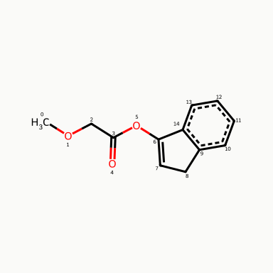 COCC(=O)OC1=CCc2ccccc21